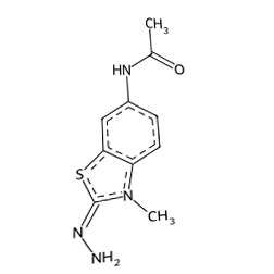 CC(=O)Nc1ccc2c(c1)s/c(=N/N)n2C